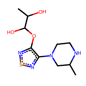 CC1CN(c2nsnc2OC(O)C(C)O)CCN1